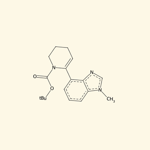 Cn1cnc2c(C3=CCCCN3C(=O)OC(C)(C)C)cccc21